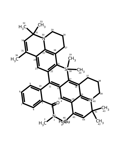 CCCCN(C)C(=O)c1ccccc1C1=c2cc3c4c(c2[Si](C)(C)c2c1cc1c5c2CCCN5C(C)(C)C=C1C)CCC[N+]=4C(C)(C)C=C3C